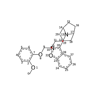 COc1c[c]ccc1OCCCCN1C2CCC1CC(c1noc3ccccc13)C2